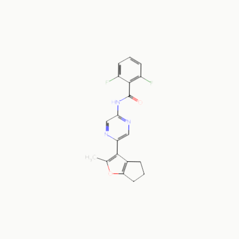 Cc1oc2c(c1-c1cnc(NC(=O)c3c(F)cccc3F)cn1)CCC2